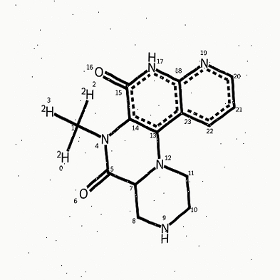 [2H]C([2H])([2H])N1C(=O)C2CNCCN2c2c1c(=O)[nH]c1ncccc21